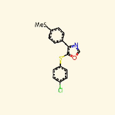 CSc1ccc(-c2ncoc2Sc2ccc(Cl)cc2)cc1